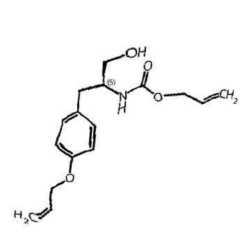 C=CCOC(=O)N[C@H](CO)Cc1ccc(OCC=C)cc1